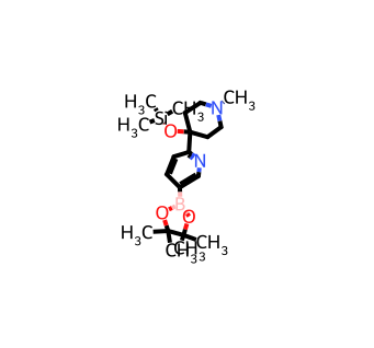 CN1CCC(O[Si](C)(C)C)(c2ccc(B3OC(C)(C)C(C)(C)O3)cn2)CC1